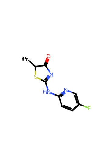 CC(C)C1SC(Nc2ccc(F)cn2)=NC1=O